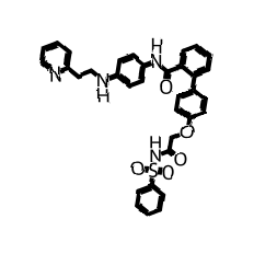 O=C(COc1ccc(-c2ccccc2C(=O)Nc2ccc(NCCc3ccccn3)cc2)cc1)NS(=O)(=O)c1ccccc1